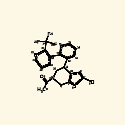 CC(=O)N1Cc2sc(Cl)cc2C(c2ccccc2-c2cccnc2C(F)(F)F)C1